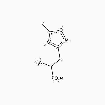 Cc1nc(CC(N)C(=O)O)no1